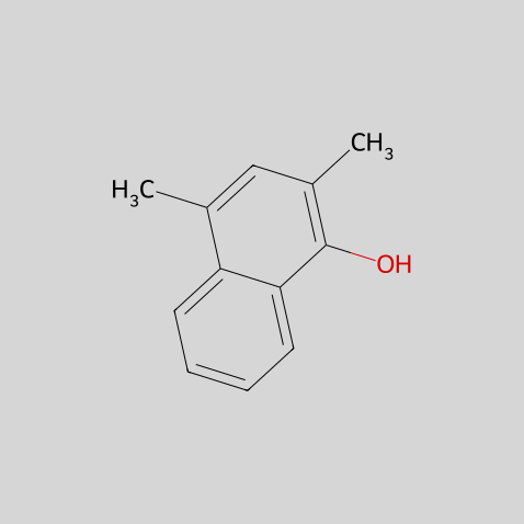 Cc1cc(C)c2ccccc2c1O